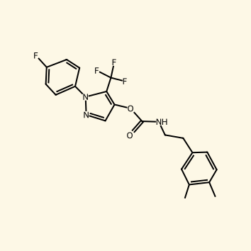 Cc1ccc(CCNC(=O)Oc2cnn(-c3ccc(F)cc3)c2C(F)(F)F)cc1C